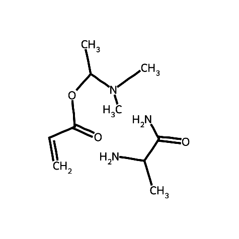 C=CC(=O)OC(C)N(C)C.CC(N)C(N)=O